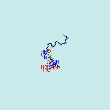 CC/C=C\C/C=C\C/C=C\C/C=C\C/C=C\C/C=C\CCC(=O)N[C@@H](CSSC(C)(C)[C@H](NC(=O)CC(O)CC)C(=O)NC(CO)CO)C(N)=O